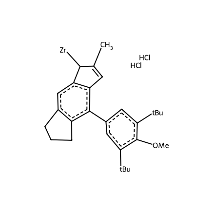 COc1c(C(C)(C)C)cc(-c2c3c(cc4c2CCC4)[CH]([Zr])C(C)=C3)cc1C(C)(C)C.Cl.Cl